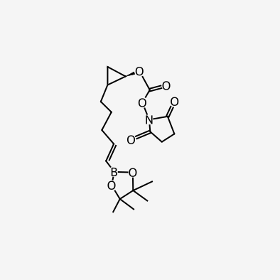 CC1(C)OB(/C=C/CCCC2C[C@H]2OC(=O)ON2C(=O)CCC2=O)OC1(C)C